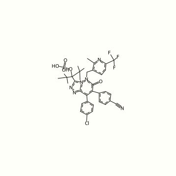 Cc1nc(C(F)(F)F)ccc1Cn1c(=O)c(-c2ccc(C#N)cc2)c(-c2ccc(Cl)cc2)c2nnc(C(OP(=O)(O)O)(C(C)(C)C)C(C)(C)C)n21